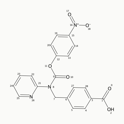 O=C(O)c1ccc(CN(C(=O)Oc2ccc([N+](=O)[O-])cc2)c2ccccn2)cc1